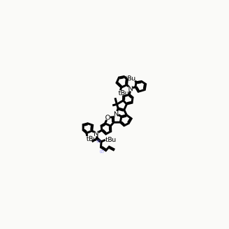 C=C/C=C\C(=C(/C)N(c1ccc2c(c1)oc1c2c2cccc3c4c(n1c32)C(C)(C)c1cc(N(c2ccccc2C(C)(C)C)c2ccccc2C(C)(C)C)ccc1-4)c1ccccc1C(C)(C)C)C(C)(C)C